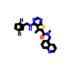 Cc1c(C(=O)N(C)Cc2cccc3ncccc23)sc2ncnc(NCC3C[C@@H]4C=C[C@H]3C4)c12